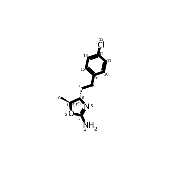 C[C@@H]1OC(N)=N[C@H]1CCc1ccc(Cl)cc1